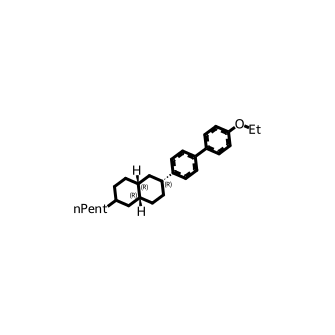 CCCCCC1CC[C@@H]2C[C@H](c3ccc(-c4ccc(OCC)cc4)cc3)CC[C@@H]2C1